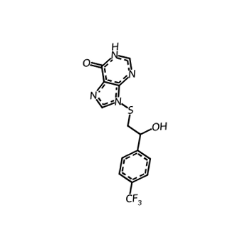 O=c1[nH]cnc2c1ncn2SCC(O)c1ccc(C(F)(F)F)cc1